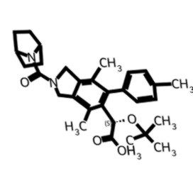 Cc1ccc(-c2c(C)c3c(c(C)c2[C@H](OC(C)(C)C)C(=O)O)CN(C(=O)N2C4CCC2CC4)C3)cc1